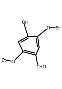 CCOc1cc(C=O)c(OCC)cc1O